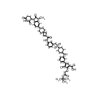 Cn1c(=O)n(C2CCC(=O)NC2=O)c2ccc(N3CCC4(CC3)CN(C(=O)Nc3cccc(CS(=O)(=O)N5CCC(Nc6cccc(-c7sc(C(=O)O)c(OCC(=O)OC(C)(C)C)c7Cl)c6)CC5)c3)C4)cc21